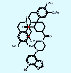 CCCCn1ccc(N2CCN(C(=O)C3CCC4(c5cc(OC)c(OC)cc5CCN4C(=O)CCNC)C(C4c5cc(OC)c(OC)cc5CCN4CC)C3)CC2)c2ncnc1-2